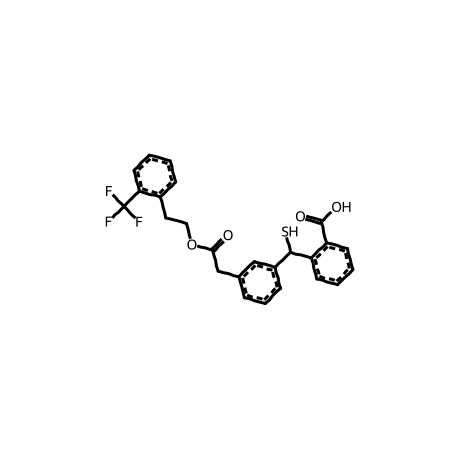 O=C(Cc1cccc(C(S)c2ccccc2C(=O)O)c1)OCCc1ccccc1C(F)(F)F